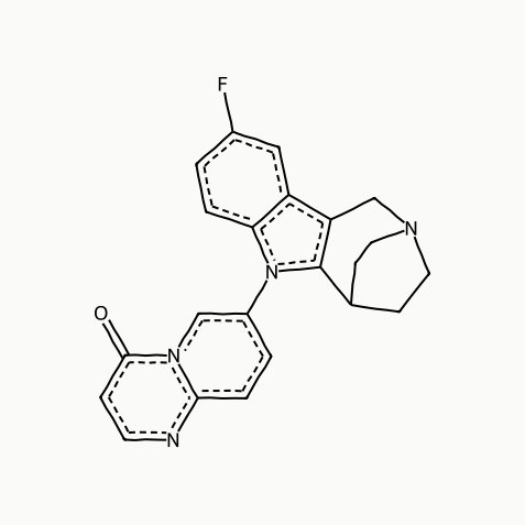 O=c1ccnc2ccc(-n3c4c(c5cc(F)ccc53)CN3CCC4CC3)cn12